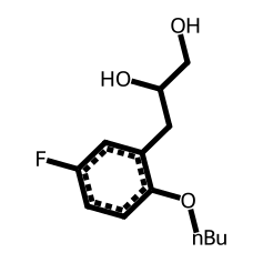 CCCCOc1ccc(F)cc1CC(O)CO